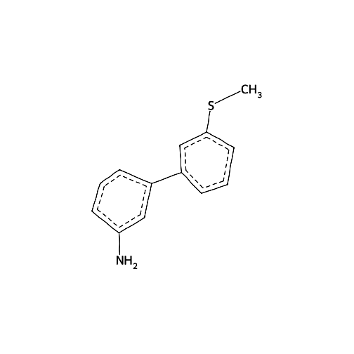 CSc1cccc(-c2cccc(N)c2)c1